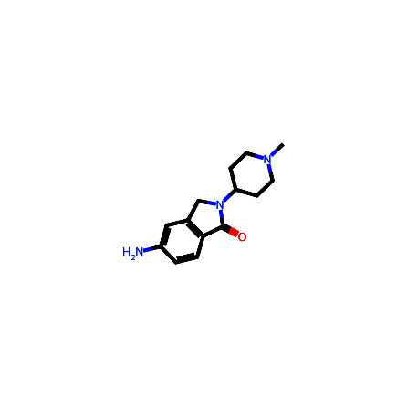 CN1CCC(N2Cc3cc(N)ccc3C2=O)CC1